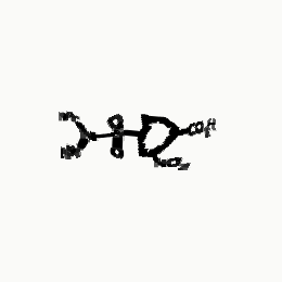 CCCN(CCC)S(=O)(=O)c1ccc(C(=O)O)c([N+](=O)[O-])c1